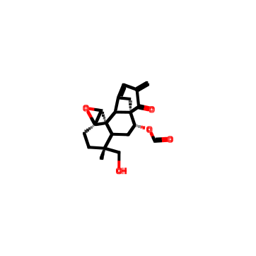 C=C1C=C2C[C@@]3(C1=O)C2[C@@]12C(C[C@H]3OC=O)[C@](C)(CO)CC[C@@]13OC23